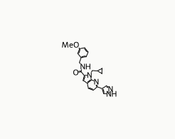 COc1cccc(CNC(=O)c2cc3ccc(-c4cn[nH]c4)nc3n2CC2CC2)c1